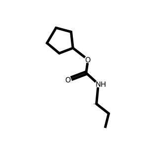 CC[CH]NC(=O)OC1CCCC1